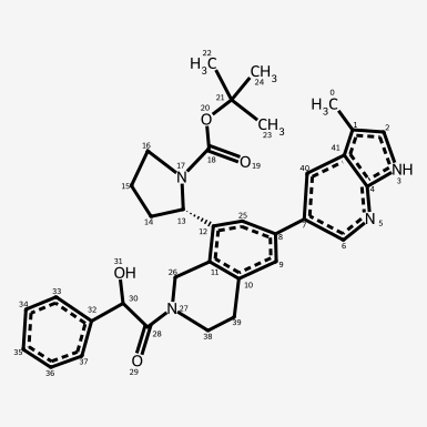 Cc1c[nH]c2ncc(-c3cc4c(c([C@@H]5CCCN5C(=O)OC(C)(C)C)c3)CN(C(=O)C(O)c3ccccc3)CC4)cc12